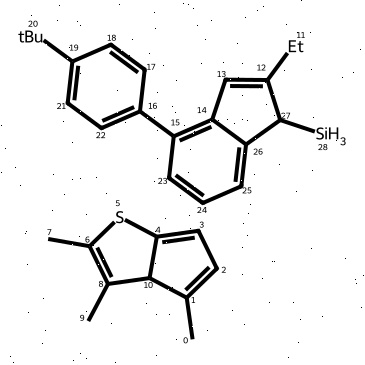 CC1=CC=C2SC(C)=C(C)C12.CCC1=Cc2c(-c3ccc(C(C)(C)C)cc3)cccc2C1[SiH3]